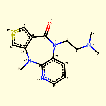 CN(C)CCN1C(=O)c2cscc2N(C)c2ncccc21